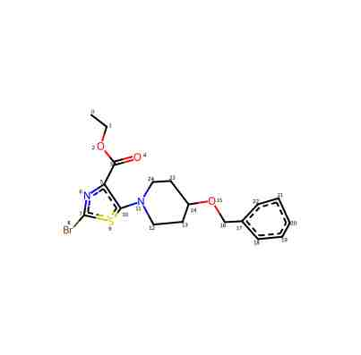 CCOC(=O)c1nc(Br)sc1N1CCC(OCc2ccccc2)CC1